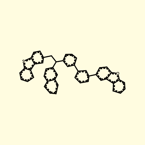 c1cc(-c2cccc(C(Cc3ccc4sc5ccccc5c4c3)c3ccc4ccccc4c3)c2)cc(-c2ccc3oc4ccccc4c3c2)c1